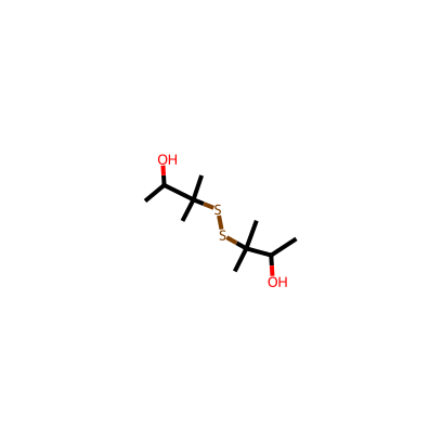 CC(O)C(C)(C)SSC(C)(C)C(C)O